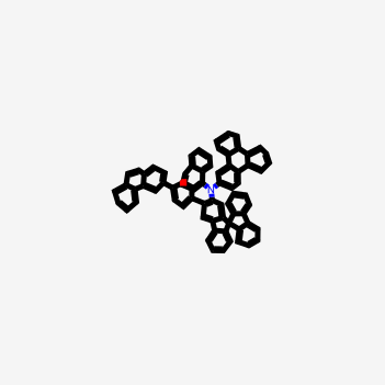 c1ccc2c(c1)-c1ccccc1C21c2ccccc2-c2cc(-c3ccc(-c4ccc5ccc6ccccc6c5c4)cc3)c(N(c3ccc4c5ccccc5c5ccccc5c4c3)c3cccc4ccccc34)cc21